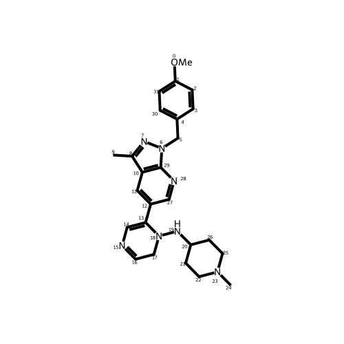 COc1ccc(Cn2nc(C)c3cc(C4=CN=CCN4NC4CCN(C)CC4)cnc32)cc1